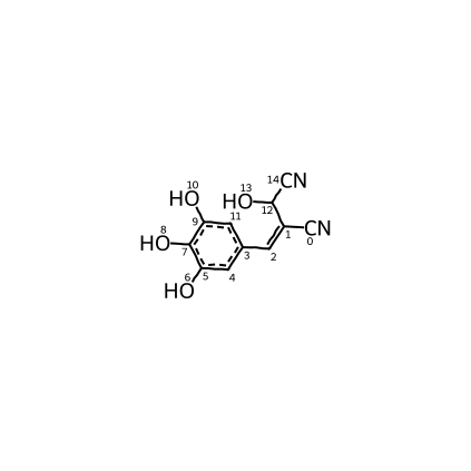 N#C/C(=C/c1cc(O)c(O)c(O)c1)C(O)C#N